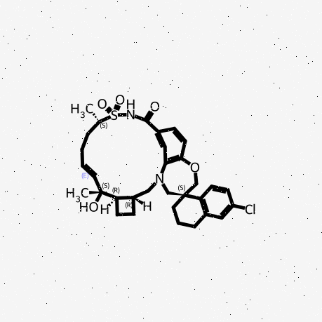 C[C@H]1CC/C=C/[C@@](C)(O)[C@@H]2CC[C@H]2CN2C[C@@]3(CCCc4cc(Cl)ccc43)COc3ccc(cc32)C(=O)NS1(=O)=O